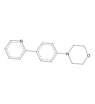 [c]1ccnc(-c2ccc(N3CCOCC3)cc2)c1